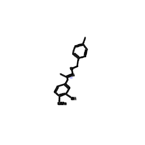 COc1ccc(/C(C)=N/OCc2ccc(C)cc2)cc1O